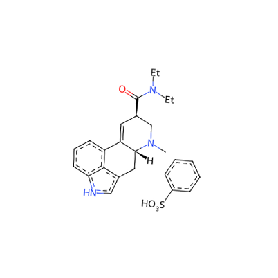 CCN(CC)C(=O)[C@@H]1C=C2c3cccc4[nH]cc(c34)C[C@H]2N(C)C1.O=S(=O)(O)c1ccccc1